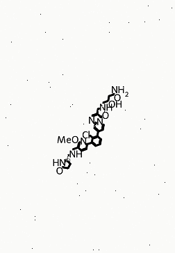 COc1nc(-c2cccc(-c3ccn4c(=O)c(CNCC(O)CC(N)=O)cnc4c3)c2Cl)ccc1CNC[C@@H]1CCC(=O)N1